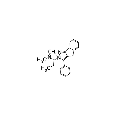 CCC(N(C)C)n1nc2c(c1-c1ccccc1)Cc1ccccc1-2